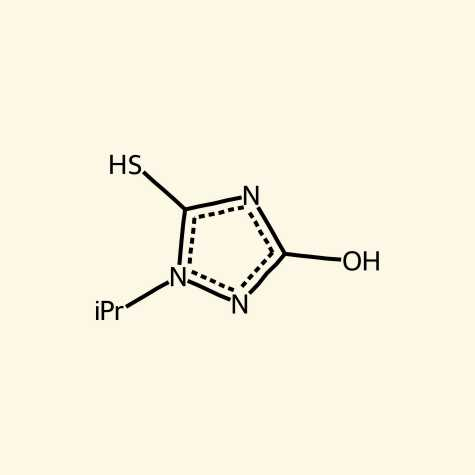 CC(C)n1nc(O)nc1S